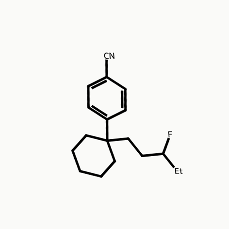 CCC(F)CCC1(c2ccc(C#N)cc2)CCCCC1